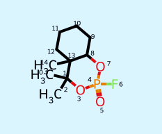 CC1(C)OP(=O)(F)OC2CCCCC21C